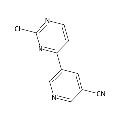 N#Cc1cncc(-c2ccnc(Cl)n2)c1